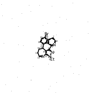 CCn1nc(-c2ccccn2)c2c1N=CCCC2c1ccc(Br)cc1